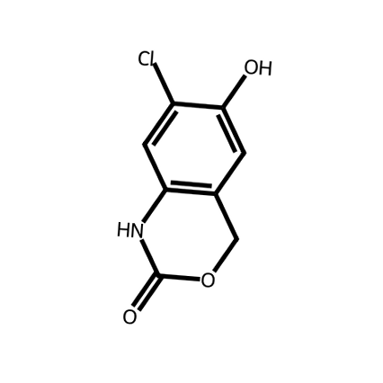 O=C1Nc2cc(Cl)c(O)cc2CO1